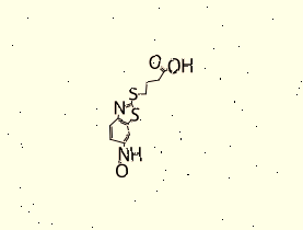 O=CNc1ccc2nc(SCCCC(=O)O)sc2c1